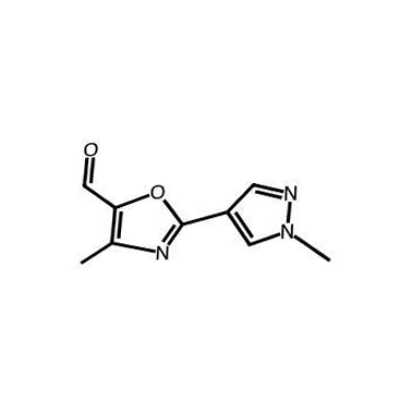 Cc1nc(-c2cnn(C)c2)oc1C=O